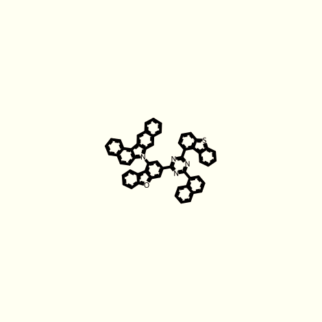 c1ccc2cc3c(cc2c1)c1c2ccccc2ccc1n3-c1cc(-c2nc(-c3cccc4ccccc34)nc(-c3cccc4sc5ccccc5c34)n2)cc2oc3ccccc3c12